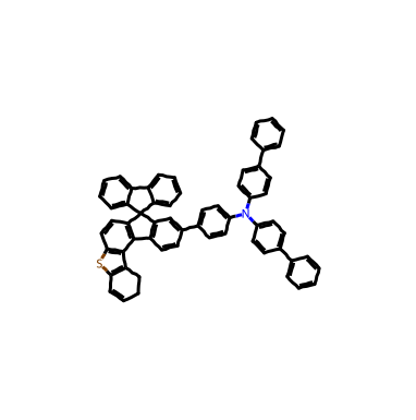 C1=Cc2sc3ccc4c(c3c2CC1)-c1ccc(-c2ccc(N(c3ccc(-c5ccccc5)cc3)c3ccc(-c5ccccc5)cc3)cc2)cc1C41c2ccccc2-c2ccccc21